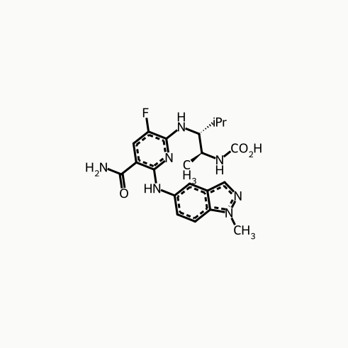 CC(C)[C@@H](Nc1nc(Nc2ccc3c(cnn3C)c2)c(C(N)=O)cc1F)[C@H](C)NC(=O)O